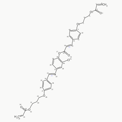 C=CC(=O)OCCCOc1ccc(/C=C/C(=O)Oc2ccc(/N=C/c3ccc(OCCCOC(=O)C=C)cc3)cc2Cl)cc1